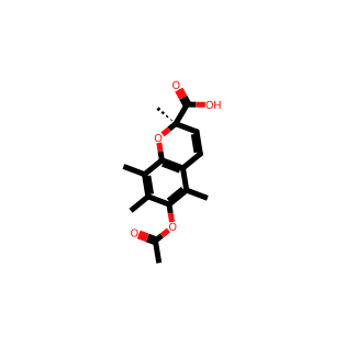 CC(=O)Oc1c(C)c(C)c2c(c1C)C=C[C@](C)(C(=O)O)O2